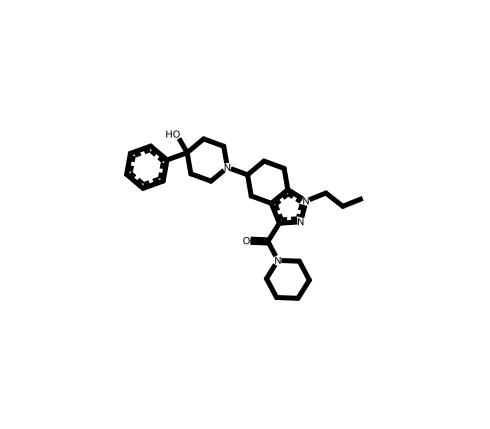 CCCn1nc(C(=O)N2CCCCC2)c2c1CCC(N1CCC(O)(c3ccccc3)CC1)C2